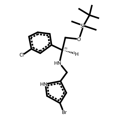 [2H][C@](CO[Si](C)(C)C(C)(C)C)(NCc1cc(Br)c[nH]1)c1cccc(Cl)c1